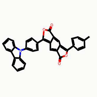 Cc1ccc(C2=c3cc4c(cc3C(=O)O2)=C(c2ccc(-n3c5ccccc5c5ccccc53)cc2)OC4=O)cc1